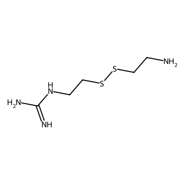 N=C(N)NCCSSCCN